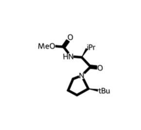 COC(=O)N[C@H](C(=O)N1CCC[C@@H]1C(C)(C)C)C(C)C